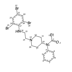 CCC(=O)N(c1ccccc1)C1CCN(CCNc2c(Br)cc(Br)cc2Br)CC1